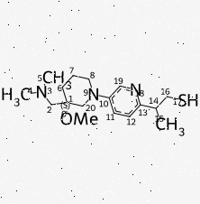 CO[C@]1(CN(C)C)CCCN(c2ccc(C(C)CS)nc2)C1